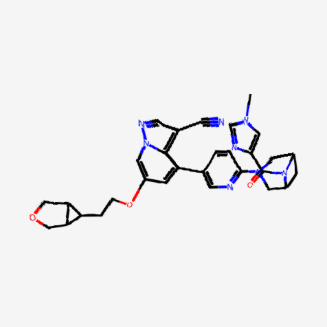 Cn1cnc(C(=O)N2C3CC2CN(c2ccc(-c4cc(OCCC5C6COCC56)cn5ncc(C#N)c45)cn2)C3)c1